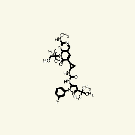 CNc1ncc2cc(C3CC3NC(=O)Nc3cc(C(C)(C)C)nn3-c3cccc(F)c3)c(=O)n(C(C)(C)CO)c2n1